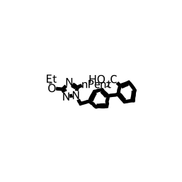 CCCCCc1nc(OCC)nn1Cc1ccc(-c2ccccc2C(=O)O)cc1